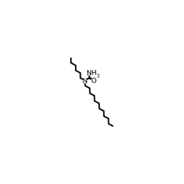 CCCCCCCCCCCCN(CCCCCC)C(N)=O